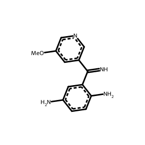 COc1cncc(C(=N)c2cc(N)ccc2N)c1